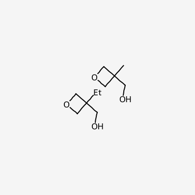 CC1(CO)COC1.CCC1(CO)COC1